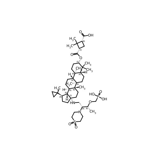 C[C@@H](OCP(=O)(O)O)[C@@H](CN[C@]12CC[C@@H](C3(C)CC3)[C@@H]1[C@H]1CC[C@@H]3[C@@]4(C)CC[C@H](OC(=O)[C@H]5C[C@@H](C(=O)O)C5(C)C)C(C)(C)[C@@H]4CC[C@@]3(C)[C@]1(C)CC2)N1CCS(=O)(=O)CC1